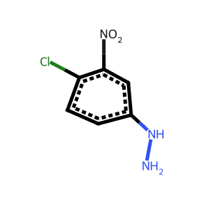 NNc1ccc(Cl)c([N+](=O)[O-])c1